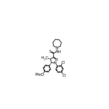 COc1ccc([C@H]2[C@@H](C)C(C(=S)NN3CCCCCC3)=NN2c2ccc(Cl)cc2Cl)cc1